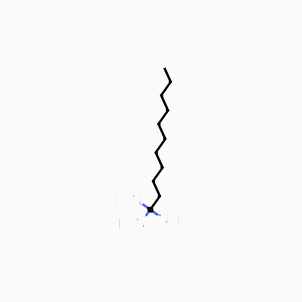 CCCCCCCCCCC(N)(N)N